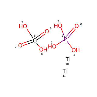 O=P(O)(O)O.[O]=[Cr](=[O])([OH])[OH].[Ti].[Ti]